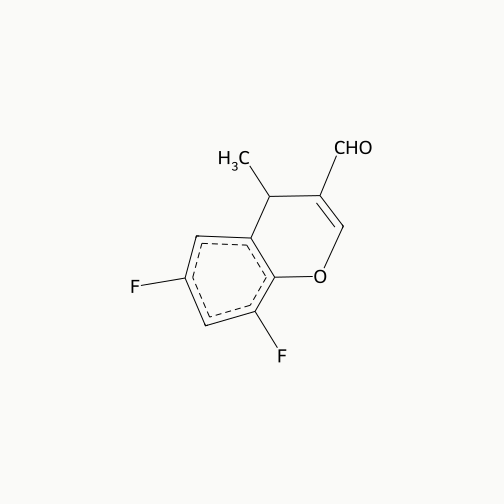 CC1C(C=O)=COc2c(F)cc(F)cc21